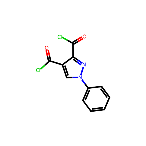 O=C(Cl)c1cn(-c2ccccc2)nc1C(=O)Cl